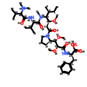 CC[C@H](C)C([C@@H](CC(=O)N1CCC[C@H]1[C@H](OC)[C@@H](OC)C(=O)N[C@@H](Cc1ccccc1)C(=O)O)OC)N(C)C(=O)[C@@H](NC(=O)C(C(C)C)N(C)C)C(C)C